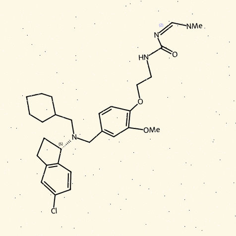 CN/C=N\C(=O)NCCOc1ccc(CN(CC2CCCCC2)[C@H]2CCc3cc(Cl)ccc32)cc1OC